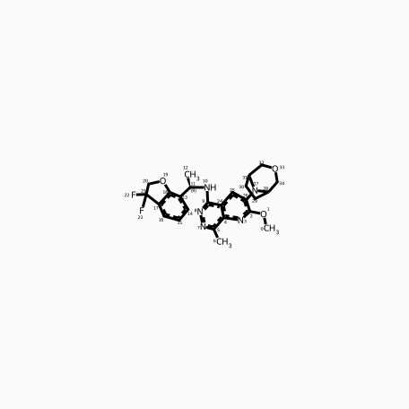 COc1nc2c(C)nnc(N[C@H](C)c3cccc4c3OCC4(F)F)c2cc1N1C2CCC1COC2